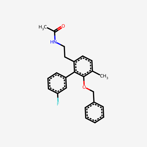 CC(=O)NCCc1ccc(C)c(OCc2ccccc2)c1-c1cccc(F)c1